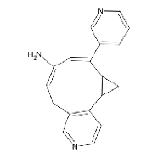 NC1=C/Cc2cnccc2C2CC2/C(c2cccnc2)=C\1